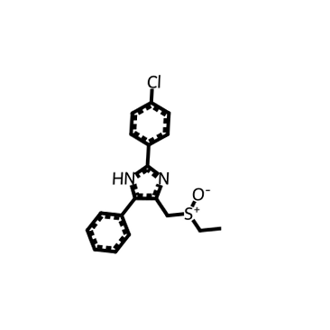 CC[S+]([O-])Cc1nc(-c2ccc(Cl)cc2)[nH]c1-c1ccccc1